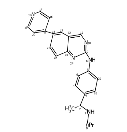 CCCN[C@H](C)c1ccc(Nc2ncc3cc(-c4ccncc4)ccc3n2)cc1